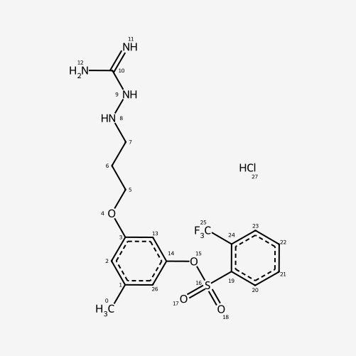 Cc1cc(OCCCNNC(=N)N)cc(OS(=O)(=O)c2ccccc2C(F)(F)F)c1.Cl